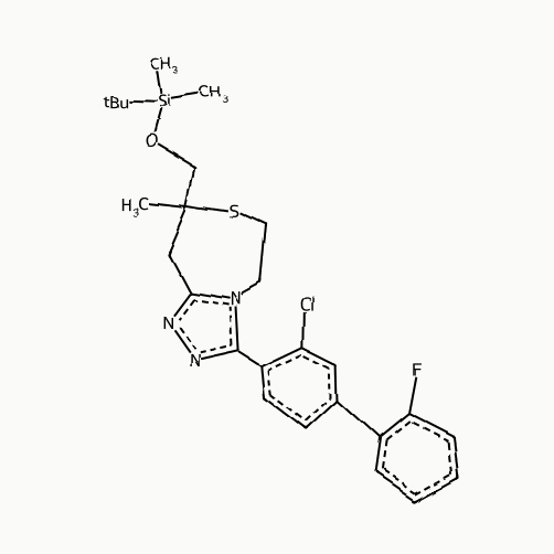 CC1(CO[Si](C)(C)C(C)(C)C)Cc2nnc(-c3ccc(-c4ccccc4F)cc3Cl)n2CCS1